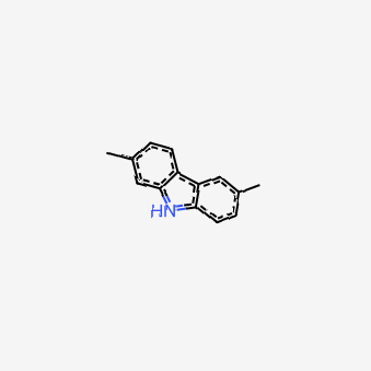 Cc1ccc2c(c1)[nH]c1ccc(C)cc12